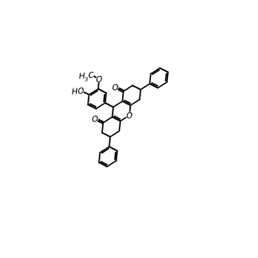 COc1cc(C2C3=C(CC(c4ccccc4)CC3=O)OC3=C2C(=O)CC(c2ccccc2)C3)ccc1O